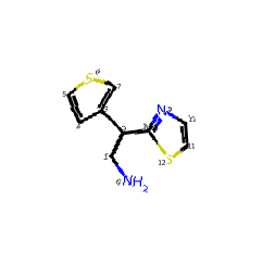 NCC(c1ccsc1)c1nccs1